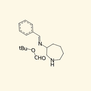 C(=NC1CCCCNC1)c1ccccc1.CC(C)(C)OC=O